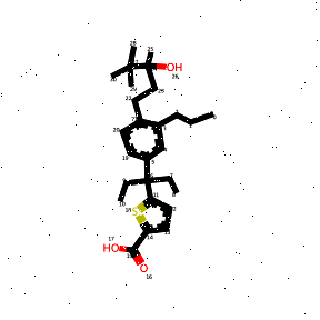 CCCc1cc(C(CC)(CC)c2ccc(C(=O)O)s2)ccc1CCC(C)(O)C(C)(C)C